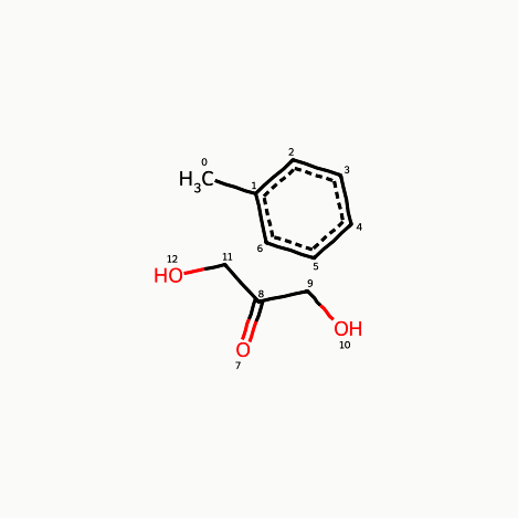 Cc1ccccc1.O=C(CO)CO